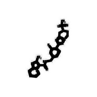 O=C(NCc1ccc(-c2nc3n(n2)CCN(S(=O)(=O)C(F)(F)F)C3)c(F)c1)c1c(C(F)(F)F)nc2ccccn12